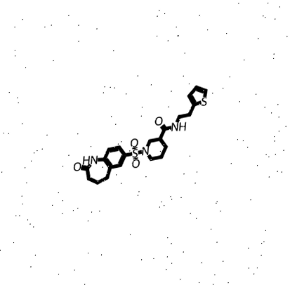 O=C1CCCc2cc(S(=O)(=O)N3CCCC(C(=O)NCCc4cccs4)C3)ccc2N1